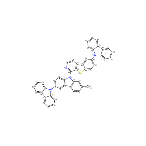 Cc1ccc2c3cc(-n4c5ccccc5c5ccccc54)ccc3n(-c3nccc4c3sc3ccc(-n5c6ccccc6c6ccccc65)cc34)c2c1